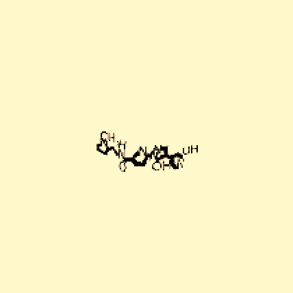 CN1CCCC1CCNC(=O)c1ccc(-n2ncc(-c3ccnc(O)c3)c2O)nc1